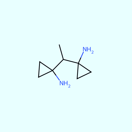 CC(C1(N)CC1)C1(N)CC1